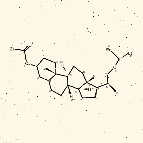 CCC(=O)OC1CC[C@@]2(C)C(CC[C@H]3[C@@H]4CC[C@H]([C@H](C)CC[C@@H](CC)C(C)C)[C@@]4(C)CC[C@@H]32)C1